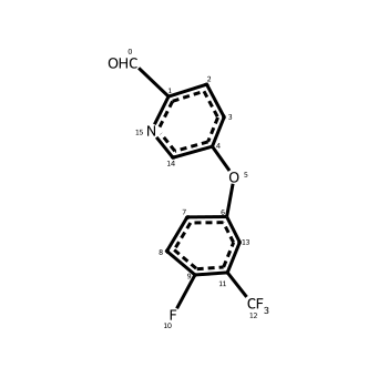 O=Cc1ccc(Oc2ccc(F)c(C(F)(F)F)c2)cn1